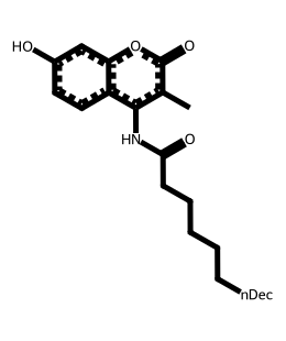 CCCCCCCCCCCCCCCC(=O)Nc1c(C)c(=O)oc2cc(O)ccc12